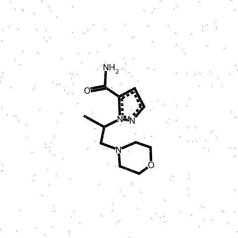 CC(CN1CCOCC1)n1nccc1C(N)=O